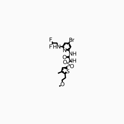 COCCc1sc(S(=O)(=O)NC(=O)Nc2cc(Br)cc(NCC(F)F)n2)cc1C